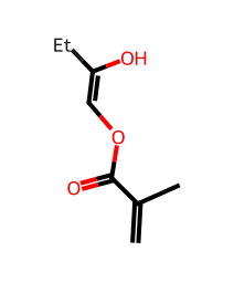 C=C(C)C(=O)OC=C(O)CC